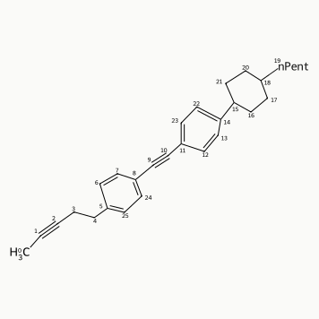 CC#CCCc1ccc(C#Cc2ccc(C3CCC(CCCCC)CC3)cc2)cc1